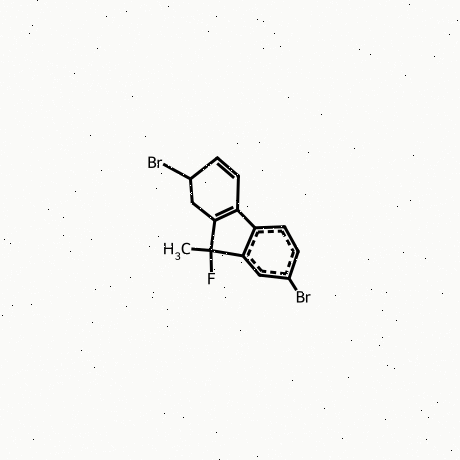 CC1(F)C2=C(C=CC(Br)C2)c2ccc(Br)cc21